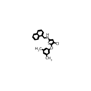 Cc1cc(C)cc(Oc2sc(NCc3cccc4ccccc34)cc2Cl)c1